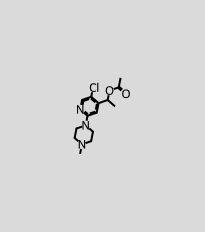 CC(=O)OC(C)c1cc(N2CCN(C)CC2)ncc1Cl